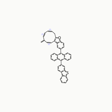 C=C1/C=C\C=C/Cc2oc3ccc(-c4c5ccccc5c(-c5ccc6c(c5)sc5ccccc56)c5ccccc45)cc3c2/C=C\1